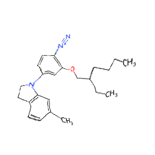 CCCCC(CC)COc1cc(N2CCc3ccc(C)cc32)ccc1[N+]#N